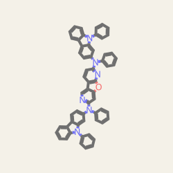 c1ccc(N(c2ccc3c4ccccc4n(-c4ccccc4)c3c2)c2cc3oc4nc(N(c5ccccc5)c5ccc6c7ccccc7n(-c7ccccc7)c6c5)ccc4c3cn2)cc1